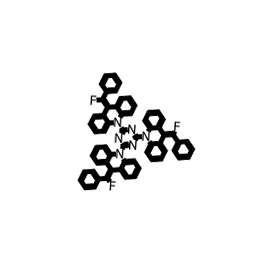 FC(=C1c2ccccc2N(c2nc(N3c4ccccc4C(=C(F)c4ccccc4)c4ccccc43)nc(N3c4ccccc4C(=C(F)c4ccccc4)c4ccccc43)n2)c2ccccc21)c1ccccc1